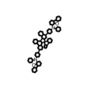 c1ccc(N(c2ccc(-c3ccc4c5c(c6ccccc6c4c3)-c3c(cc(-c4ccc(N(c6ccccc6)c6cccc7c6oc6ccccc67)cc4)c4ccccc34)C53c4ccccc4-c4ccccc43)cc2)c2cccc3c2oc2ccccc23)cc1